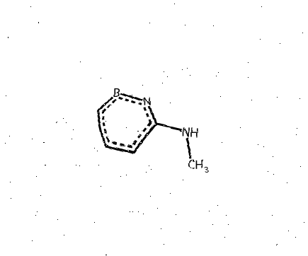 CNc1cccbn1